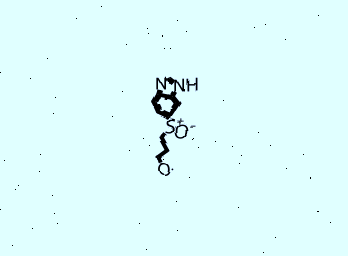 [O]CCC[S+]([O-])c1ccc2nc[nH]c2c1